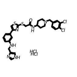 Cl.Cl.O=C(CSc1nc(-c2cccc(NCc3c[nH]cn3)c2)cs1)NC1CCN(Cc2ccc(Cl)c(Cl)c2)CC1